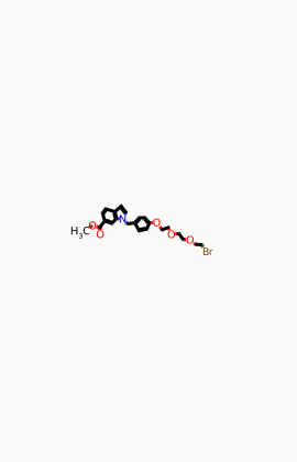 COC(=O)c1ccc2ccn(Cc3ccc(OCCOCCOCCBr)cc3)c2c1